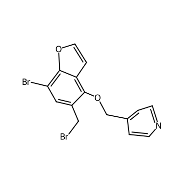 BrCc1cc(Br)c2occc2c1OCc1ccncc1